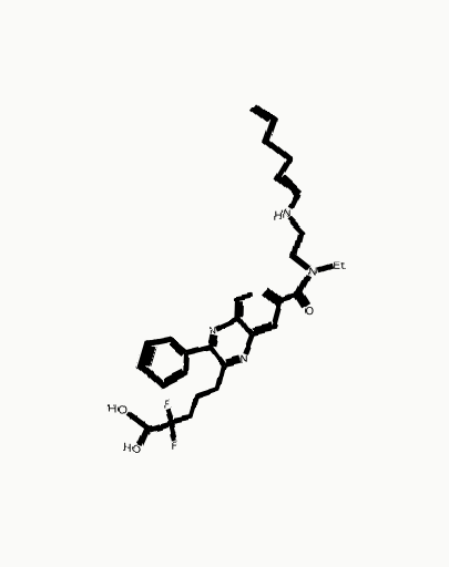 C=CCC/C=C/NCCN(CC)C(=O)C(=C)/C=c1/nc(CCCC(F)(F)C(O)O)c(-c2ccccc2)n/c1=C/C